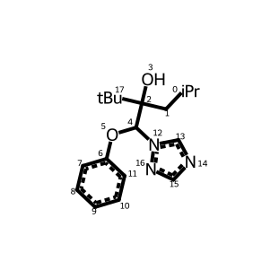 CC(C)CC(O)(C(Oc1ccccc1)n1cncn1)C(C)(C)C